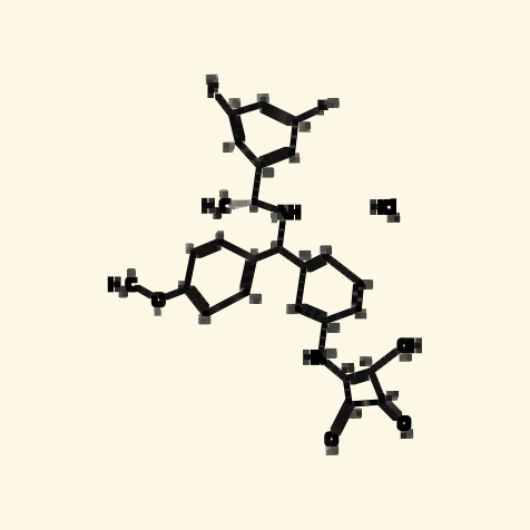 COc1ccc(C(N[C@H](C)c2cc(F)cc(F)c2)c2cccc(Nc3c(O)c(=O)c3=O)c2)cc1.Cl